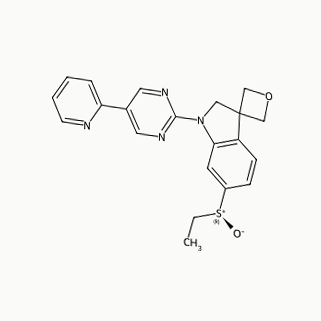 CC[S@+]([O-])c1ccc2c(c1)N(c1ncc(-c3ccccn3)cn1)CC21COC1